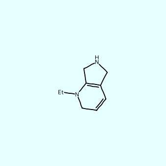 CCN1CC=CC2=C1CNC2